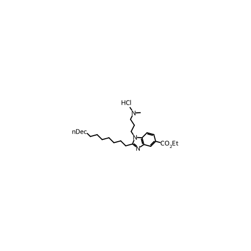 CCCCCCCCCCCCCCCCCc1nc2cc(C(=O)OCC)ccc2n1CCCN(C)C.Cl